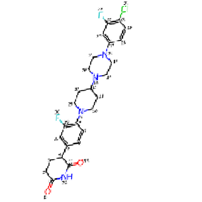 O=C1CCC(c2ccc(N3CCC(N4CCN(c5ccc(Cl)c(F)c5)CC4)CC3)c(F)c2)C(=O)N1